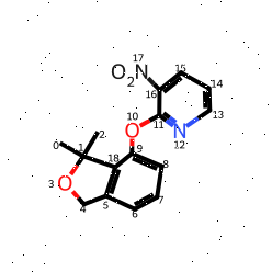 CC1(C)OCc2cccc(Oc3ncccc3[N+](=O)[O-])c21